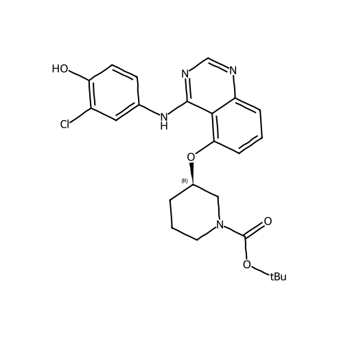 CC(C)(C)OC(=O)N1CCC[C@@H](Oc2cccc3ncnc(Nc4ccc(O)c(Cl)c4)c23)C1